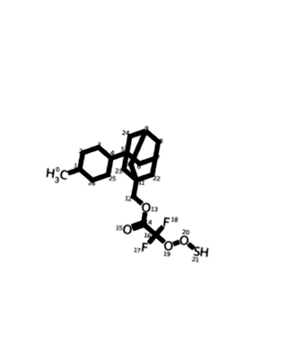 CC1CCC(C23CC4CC(CC(COC(=O)C(F)(F)OOS)(C4)C2)C3)CC1